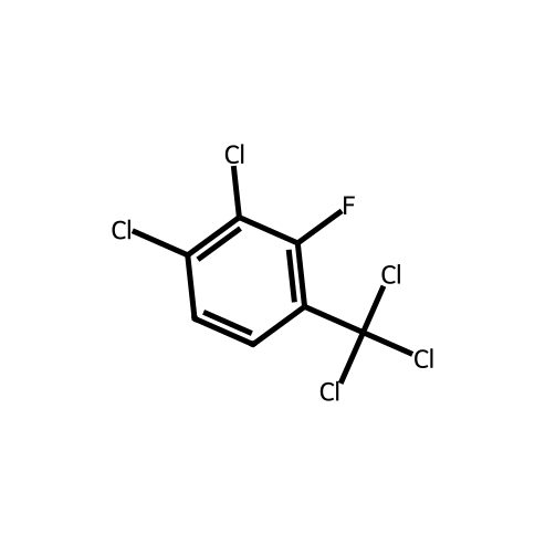 Fc1c(C(Cl)(Cl)Cl)ccc(Cl)c1Cl